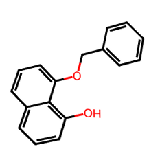 Oc1cccc2cccc(OCc3ccccc3)c12